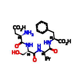 CC(C)[C@H](NC(=O)[C@H](CO)NC(=O)[C@@H](N)CC(=O)O)C(=O)N[C@@H](Cc1ccccc1)C(=O)O